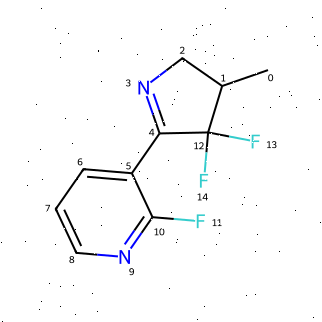 CC1CN=C(c2cccnc2F)C1(F)F